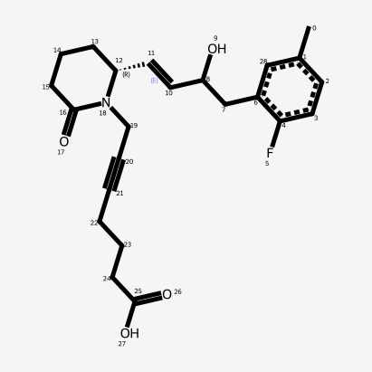 Cc1ccc(F)c(CC(O)/C=C/[C@H]2CCCC(=O)N2CC#CCCCC(=O)O)c1